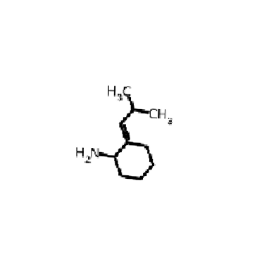 CC(C)C=C1CCCCC1N